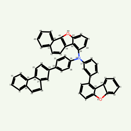 c1cc(-c2cccc3oc4ccccc4c23)cc(N(c2ccc(-c3ccc4c(ccc5ccccc54)c3)cc2)c2cccc3oc4c5ccccc5ccc4c23)c1